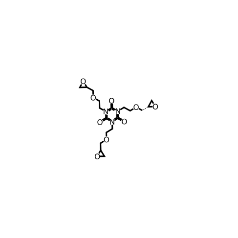 O=c1n(CCOCC2CO2)c(=O)n(CCOC[C@@H]2CO2)c(=O)n1CCOCC1CO1